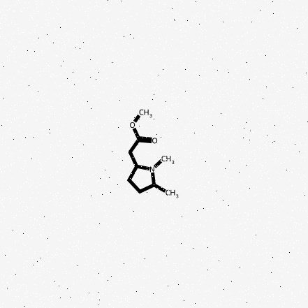 COC(=O)CC1CCC(C)N1C